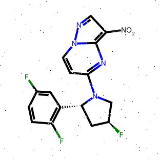 O=[N+]([O-])c1cnn2ccc(N3C[C@@H](F)C[C@@H]3c3cc(F)ccc3F)nc12